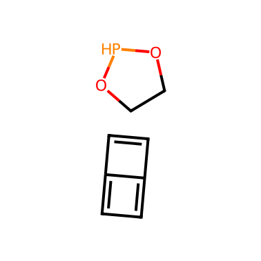 C1COPO1.c1cc2ccc1-2